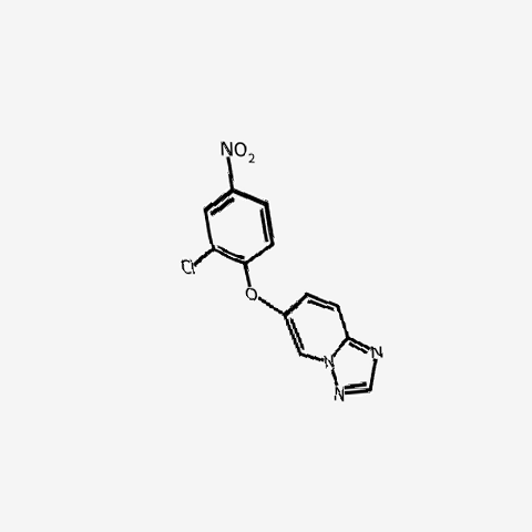 O=[N+]([O-])c1ccc(Oc2ccc3ncnn3c2)c(Cl)c1